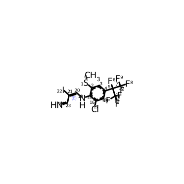 CSc1cc(C(F)(C(F)(F)F)C(F)(F)F)cc(Cl)c1N/C=C(/I)C=N